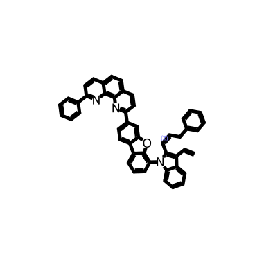 C=Cc1c(/C=C\Cc2ccccc2)n(-c2cccc3c2oc2cc(-c4ccc5ccc6ccc(-c7ccccc7)nc6c5n4)ccc23)c2ccccc12